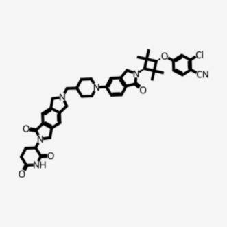 CC1(C)[C@H](Oc2ccc(C#N)c(Cl)c2)C(C)(C)[C@H]1N1Cc2cc(N3CCC(CN4Cc5cc6c(cc5C4)C(=O)N(C4CCC(=O)NC4=O)C6)CC3)ccc2C1=O